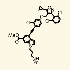 COC(=O)c1cc(C#Cc2ccc(OCc3c(-c4c(Cl)cccc4Cl)noc3C3CC3)cc2Cl)c2ccn(CCCNC(C)C)c2c1